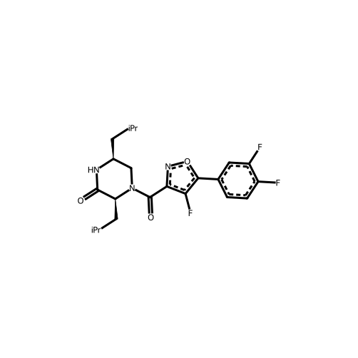 CC(C)C[C@H]1CN(C(=O)c2noc(-c3ccc(F)c(F)c3)c2F)[C@@H](CC(C)C)C(=O)N1